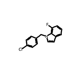 Fc1cccc2ccn(Cc3ccc(Cl)cc3)c12